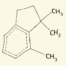 Cc1cccc2c1C(C)(C)CC2